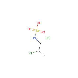 CC(Cl)CNS(=O)(=O)O.Cl